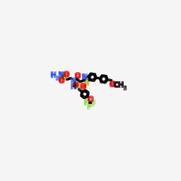 COCc1ccc(-c2ccc3nc(C(C(=O)NCCS(N)(=O)=O)S(=O)(=O)Cc4ccc(OC(F)(F)F)cc4)sc3c2)cc1